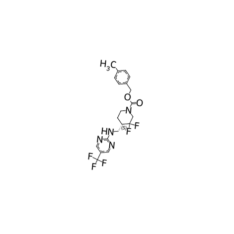 Cc1ccc(COC(=O)N2CC[C@@H](CNc3ncc(C(F)(F)F)cn3)C(F)(F)C2)cc1